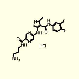 Cc1nsc(Nc2cnc(C(=O)NCCCN)cn2)c1C(=O)Nc1ccc(F)c(F)c1.Cl